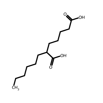 CCCCCCC(CCCCC(=O)O)C(=O)O